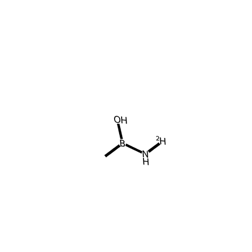 [2H]NB(C)O